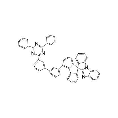 c1ccc(-c2nc(-c3ccccc3)nc(-c3cccc(-c4cccc(-c5cccc6c5-c5ccccc5C65c6ccccc6-n6c5nc5ccccc56)c4)c3)n2)cc1